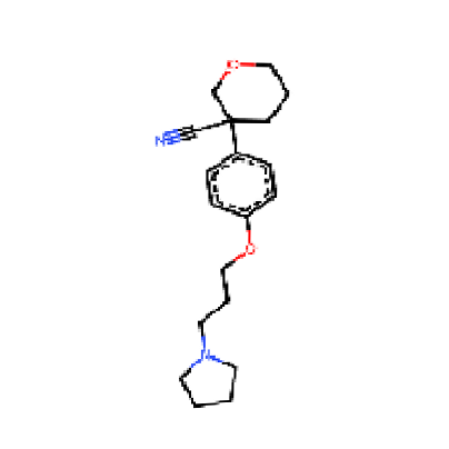 N#CC1(c2ccc(OCCCN3CCCC3)cc2)CCCOC1